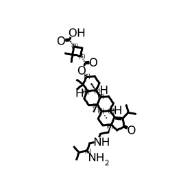 CC(C)C1=C2[C@H]3CC[C@@H]4[C@@]5(C)CC[C@H](OC(=O)[C@H]6C[C@@H](C(=O)O)C6(C)C)C(C)(C)[C@@H]5CC[C@@]4(C)[C@]3(C)CC[C@@]2(CCNC[C@@H](N)C(C)C)CC1=O